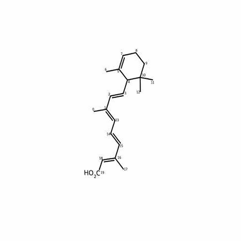 CC(C=CC1C(C)=CCCC1(C)C)=CC=CC(C)=CC(=O)O